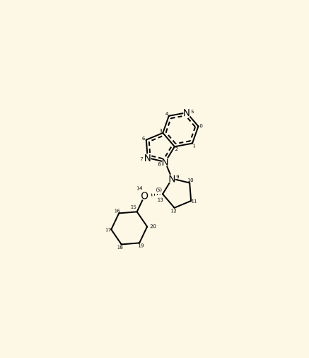 c1cc2c(cn1)cnn2N1CCC[C@@H]1OC1CCCCC1